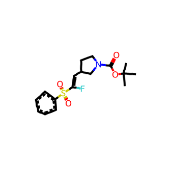 CC(C)(C)OC(=O)N1CCC(C=C(F)S(=O)(=O)c2ccccc2)C1